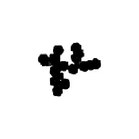 CC1(C)c2c(ccc3c4ccccc4c4ccccc4c23)-c2ccc3c(c21)c1cc(-c2cccc(N(c4ccc5cc6ccccc6cc5c4)c4ccc5c(c4)sc4ccccc45)c2)ccc1n3-c1nc(-c2ccccc2)cc(-c2ccccn2)n1